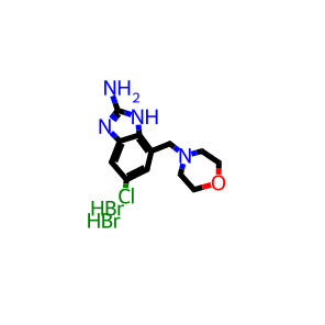 Br.Br.Nc1nc2cc(Cl)cc(CN3CCOCC3)c2[nH]1